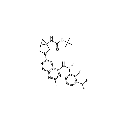 Cc1nc(N[C@H](C)c2cccc(C(F)F)c2F)c2cc(N3CC4CC4(NC(=O)OC(C)(C)C)C3)ncc2n1